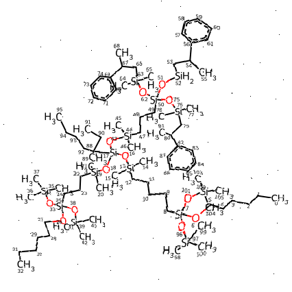 CCCCCCO[Si](CCCCC[Si](C)(C)O[Si](O[Si](C)(C)CCC[Si](OCCCCCC)(O[Si](C)(C)C)O[Si](C)(C)C)(O[Si](C)(C)CCC[Si](O[SiH2]CC(C)c1ccccc1)(O[Si](C)(C)CC(C)c1ccccc1)O[Si](C)(C)CC(C)c1ccccc1)C(C)(CC)CCCC)(O[Si](C)(C)C)O[Si](C)(C)C